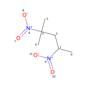 CC(CC(C)(C)[N+](=O)[O-])[N+](=O)[O-]